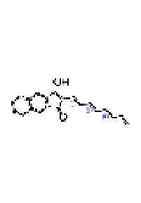 C=C/C=C/C=C/C=C/C1=C(O)c2cc3ccccc3cc2C1=O